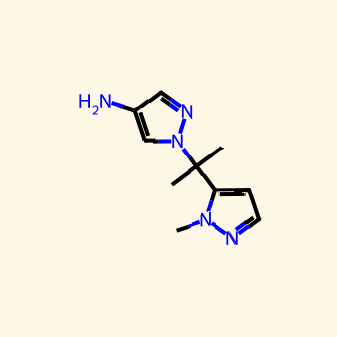 Cn1nccc1C(C)(C)n1cc(N)cn1